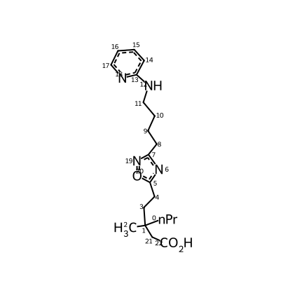 CCCC(C)(CCc1nc(CCCCNc2ccccn2)no1)CC(=O)O